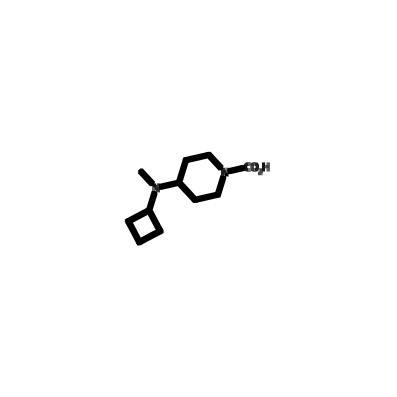 CN(C1CCC1)C1CCN(C(=O)O)CC1